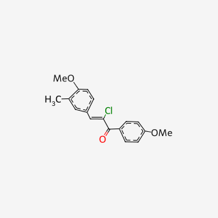 COc1ccc(C(=O)/C(Cl)=C/c2ccc(OC)c(C)c2)cc1